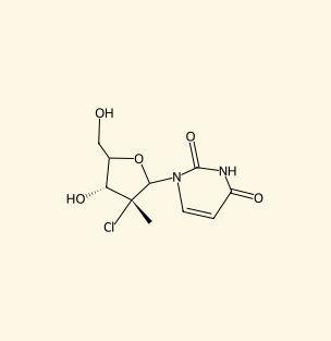 C[C@]1(Cl)C(n2ccc(=O)[nH]c2=O)OC(CO)[C@H]1O